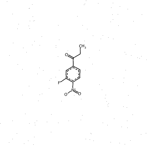 CCC(=O)c1ccc([N+](=O)[O-])c(F)c1